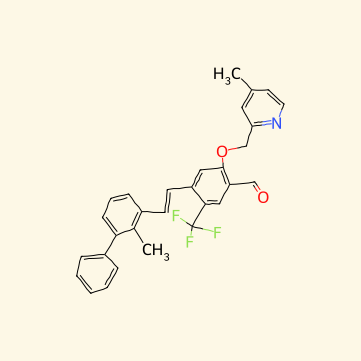 Cc1ccnc(COc2cc(/C=C/c3cccc(-c4ccccc4)c3C)c(C(F)(F)F)cc2C=O)c1